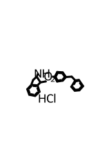 Cl.NC1Cc2ccccc2C1COc1ccc(Cc2ccccc2)cc1